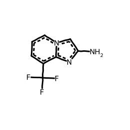 Nc1cn2cccc(C(F)(F)F)c2n1